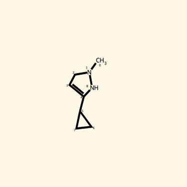 CN1CC=C(C2CC2)N1